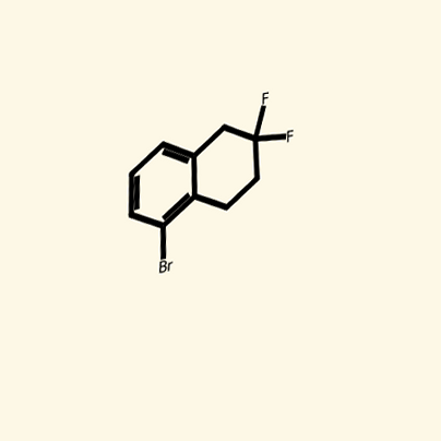 FC1(F)CCc2c(Br)cccc2C1